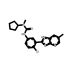 Cc1cnc2nc(-c3cc(NC(=O)N(C)C4CCCC4)ccc3Cl)[nH]c2c1